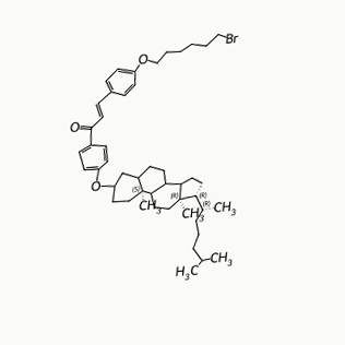 CC(C)CCC[C@@H](C)[C@H]1CCC2C3CCC4CC(Oc5ccc(C(=O)C=Cc6ccc(OCCCCCCBr)cc6)cc5)CC[C@]4(C)C3CC[C@@]21C